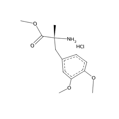 COC(=O)[C@](C)(N)Cc1ccc(OC)c(OC)c1.Cl